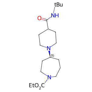 CCOC(=O)N1CCC[C@H](N2CCC(C(=O)NC(C)(C)C)CC2)CC1